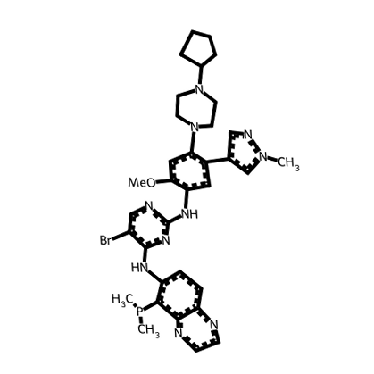 COc1cc(N2CCN(C3CCCC3)CC2)c(-c2cnn(C)c2)cc1Nc1ncc(Br)c(Nc2ccc3nccnc3c2P(C)C)n1